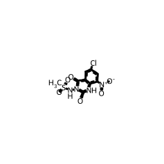 CS(=O)(=O)Nn1c(=O)[nH]c2c([N+](=O)[O-])cc(Cl)cc2c1=O